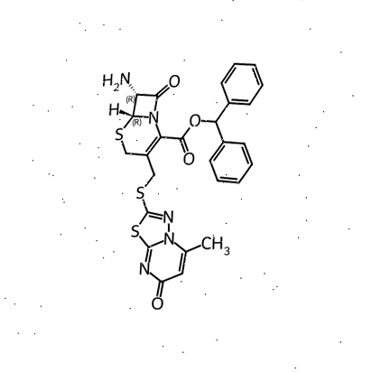 Cc1cc(=O)nc2sc(SCC3=C(C(=O)OC(c4ccccc4)c4ccccc4)N4C(=O)[C@@H](N)[C@H]4SC3)nn12